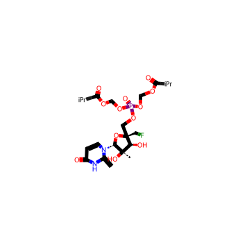 C=C1NC(=O)C=CN1[C@@H]1O[C@](CF)(COP(=O)(OCOC(=O)C(C)C)OCOC(=O)C(C)C)[C@@H](O)[C@@]1(C)O